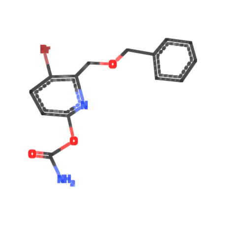 NC(=O)Oc1ccc(Br)c(COCc2ccccc2)n1